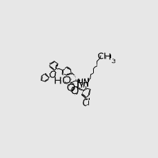 CCCCCCCCNc1ccc(Cl)cc1C(=O)N[C@@H](Cc1ccc(-c2ccccc2Oc2ccccc2)cc1)C(=O)O